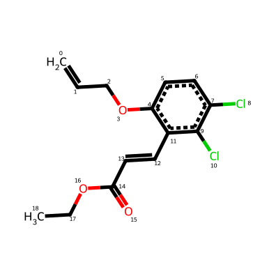 C=CCOc1ccc(Cl)c(Cl)c1C=CC(=O)OCC